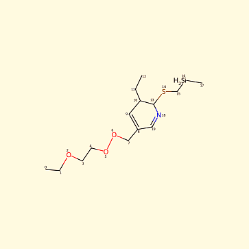 CCOCCOOCC1=CC(CC)C(SC[SiH2]C)N=C1